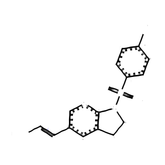 O=C(O)/C=C/c1cnc2c(c1)CCN2S(=O)(=O)c1ccc(F)cc1